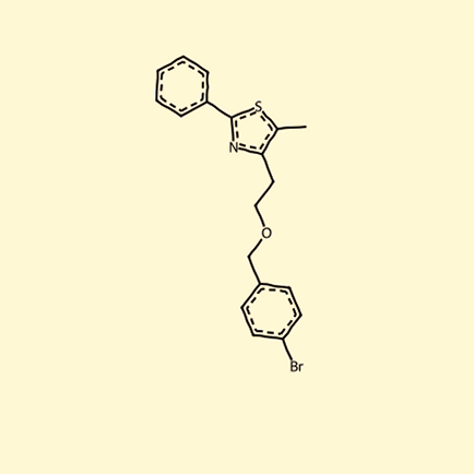 Cc1sc(-c2ccccc2)nc1CCOCc1ccc(Br)cc1